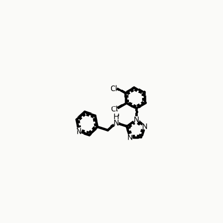 Clc1cccc(-n2ncnc2NCc2cccnc2)c1Cl